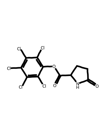 O=C1CCC(C(=O)Oc2c(Cl)c(Cl)c(Cl)c(Cl)c2Cl)N1